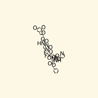 COc1cc(OC)c2oc(COC(=O)Nc3ccn(C4OC(COP(=O)(N[C@@H](C)C(=O)OCc5ccccc5)Oc5cccnc5)[C@@H](O)C4(F)F)c(=O)n3)cc2c1